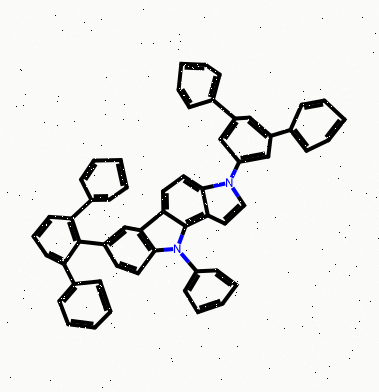 c1ccc(-c2cc(-c3ccccc3)cc(-n3ccc4c3ccc3c5cc(-c6c(-c7ccccc7)cccc6-c6ccccc6)ccc5n(-c5ccccc5)c34)c2)cc1